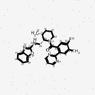 Cc1cc(-c2ncccn2)c(C(=O)N2CCC[C@@H](C)[C@H]2CNc2nc3ccccc3o2)cc1F